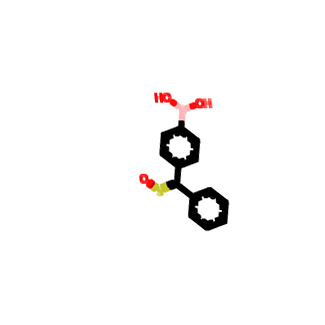 O=S=C(c1ccccc1)c1ccc(B(O)O)cc1